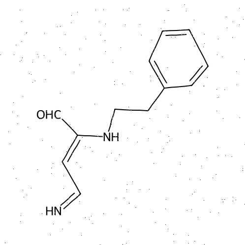 N=C/C=C(/C=O)NCCc1ccccc1